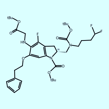 CC(C)(C)OC(=O)CNc1c(OCCc2ccccc2)cc2c(c1F)C[C@H](CN(CCCC(F)F)C(=O)OC(C)(C)C)N2C(=O)OC(C)(C)C